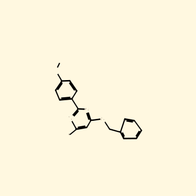 CSc1ccc(-c2nc(Cl)cc(NCc3ccccc3)n2)cc1